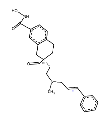 CN(C/C=C/c1ccccc1)CC[C@@]1(C=O)CCc2ccc(C(=O)NO)cc2C1